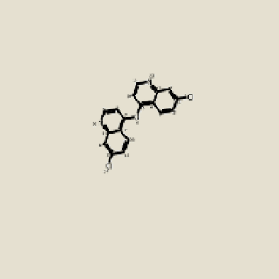 Clc1ccc2c(Oc3ccnc4cc(Cl)ccc34)ccnc2c1